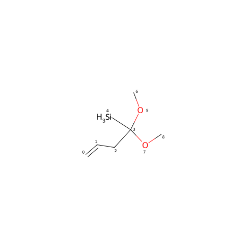 C=CCC([SiH3])(OC)OC